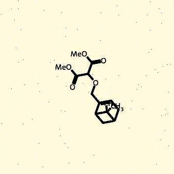 COC(=O)C(OCC1=CCC2CC1C2(C)C)C(=O)OC